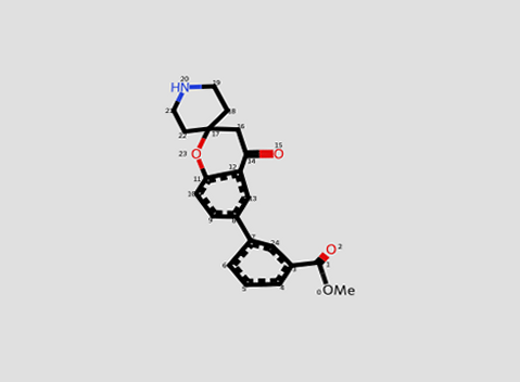 COC(=O)c1cccc(-c2ccc3c(c2)C(=O)CC2(CCNCC2)O3)c1